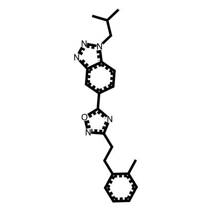 Cc1ccccc1CCc1noc(-c2ccc3c(c2)nnn3CC(C)C)n1